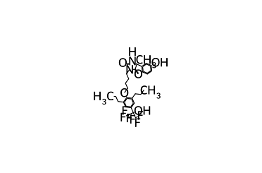 CCCc1cc(C(O)(C(F)(F)F)C(F)(F)F)cc(CCC)c1OCCCCN1C(=O)NC(C)(c2cccc(O)c2)C1=O